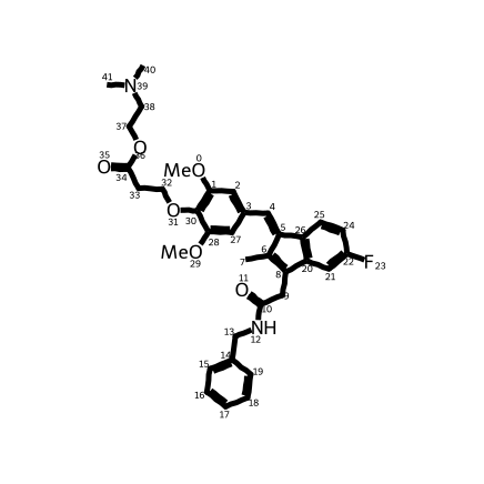 COc1cc(C=C2C(C)=C(CC(=O)NCc3ccccc3)c3cc(F)ccc32)cc(OC)c1OCCC(=O)OCCN(C)C